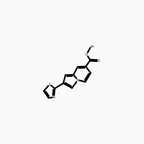 CC(C)OC(=O)c1ccn2cc(-c3nccs3)cc2c1